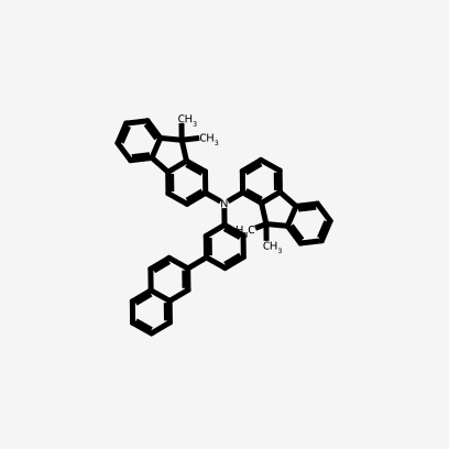 CC1(C)c2ccccc2-c2ccc(N(c3cccc(-c4ccc5ccccc5c4)c3)c3cccc4c3C(C)(C)c3ccccc3-4)cc21